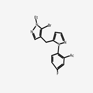 CCn1ncc(Cc2ccnn2-c2ccc(F)cc2C(C)=O)c1Br